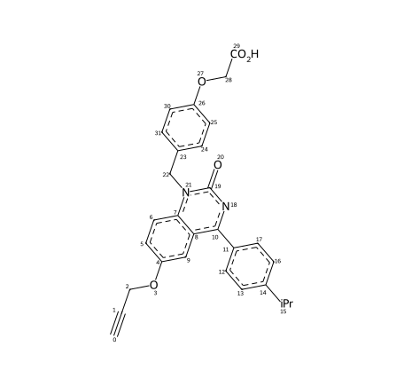 C#CCOc1ccc2c(c1)c(-c1ccc(C(C)C)cc1)nc(=O)n2Cc1ccc(OCC(=O)O)cc1